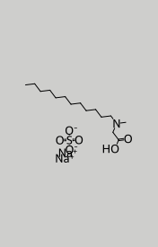 CCCCCCCCCCCCN(C)CC(=O)O.O=S(=O)([O-])[O-].[Na+].[Na+]